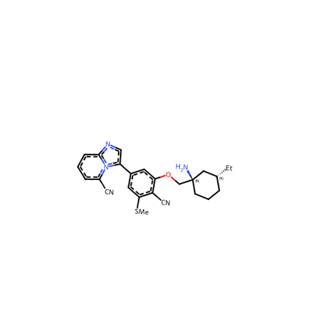 CC[C@@H]1CCC[C@](N)(COc2cc(-c3cnc4cccc(C#N)n34)cc(SC)c2C#N)C1